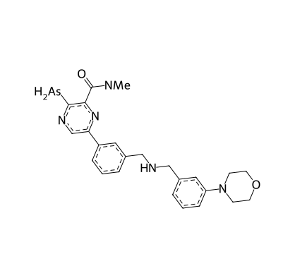 CNC(=O)c1nc(-c2cccc(CNCc3cccc(N4CCOCC4)c3)c2)cnc1[AsH2]